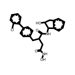 O=C(CC(Cc1ccc(-c2ccccc2Cl)cc1)C(=O)NC1c2ccccc2CC1O)NO